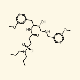 CCCN(CCC)S(=O)(=O)CCC(=O)N[C@@H](Cc1cccc(OC)c1)[C@H](O)CNCc1cccc(OC)c1